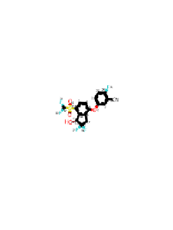 N#Cc1cc(Oc2ccc(S(=O)(=O)C(F)F)c3c2CC(F)(F)[C@H]3O)ccc1F